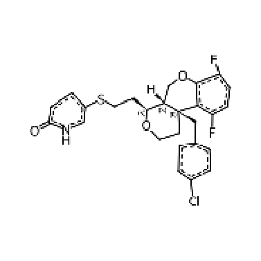 O=c1ccc(SCC[C@@H]2OCC[C@@]3(Cc4ccc(Cl)cc4)c4c(F)ccc(F)c4OC[C@@H]23)c[nH]1